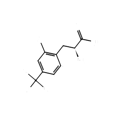 N[C@@H](Cc1ccc(C(F)(F)F)cc1Cl)C(=O)O